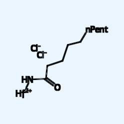 CCCCCCCCCC(=O)[NH][Hf+2].[Cl-].[Cl-]